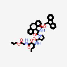 C=CCOC(=O)CNC(=O)C(=O)C(CCC)NC(=O)[C@@H]1CCCN1C(=O)C(NC(=O)OCC1c2ccccc2-c2ccccc21)C1c2ccccc2CCc2ccccc21